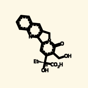 CC[C@@](O)(C(=O)O)c1cc2n(c(=O)c1CO)Cc1cc3ccccc3nc1-2